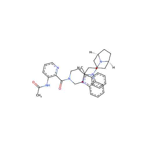 CC(=O)Nc1cccnc1C(=O)N1CCC(CCN2[C@@H]3CC[C@H]2CC(n2c(C)nc4ccccc42)C3)(c2ccccc2)CC1